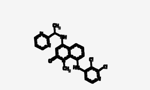 CC(Nc1cc(=O)n(C)c2c(Nc3ccnc(Cl)c3Cl)cccc12)c1ncccn1